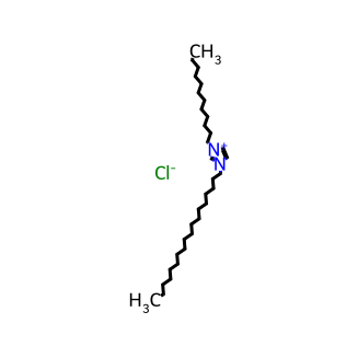 CCCCCCCCCCCCCCCCCCn1cc[n+](CCCCCCCCCCCC)c1.[Cl-]